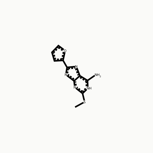 CSc1nc2nc(-c3ccco3)nc-2c(N)[nH]1